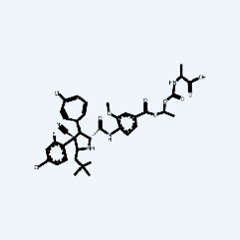 COc1cc(C(=O)OC(C)OC(=O)NC(C)C(=O)O)ccc1NC(=O)[C@@H]1NC(CC(C)(C)C)[C@](C#N)(c2ccc(Cl)cc2F)C1C1C#CC(Cl)=CC=C1